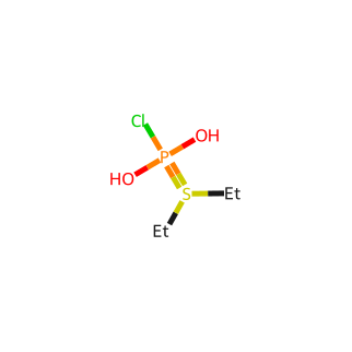 CCS(CC)=P(O)(O)Cl